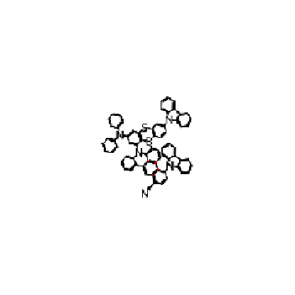 N#Cc1ccc(-n2c3ccccc3c3ccccc32)c(-c2ccc3c(c2)N(c2ccccc2-c2ccccc2)c2cc(N(c4ccccc4)c4ccccc4)cc4c2B3c2ccc(-n3c5ccccc5c5ccccc53)cc2S4)c1